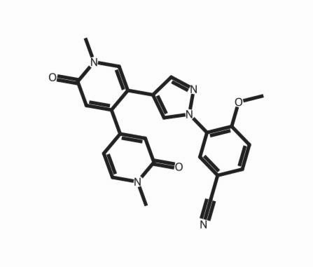 COc1ccc(C#N)cc1-n1cc(-c2cn(C)c(=O)cc2-c2ccn(C)c(=O)c2)cn1